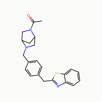 CC(=O)N1CC2CC1CN2Cc1ccc(Cc2nc3ccccc3s2)cc1